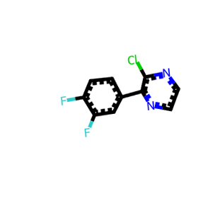 Fc1ccc(-c2nccnc2Cl)cc1F